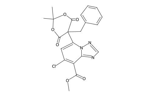 COC(=O)c1c(Cl)cc(C2(Cc3ccccc3)C(=O)OC(C)(C)OC2=O)n2ncnc12